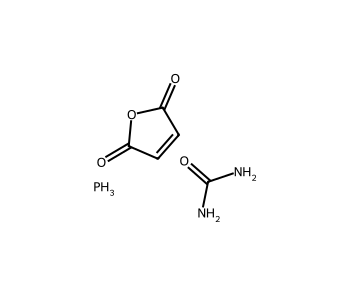 NC(N)=O.O=C1C=CC(=O)O1.P